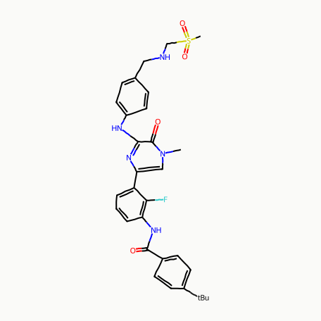 Cn1cc(-c2cccc(NC(=O)c3ccc(C(C)(C)C)cc3)c2F)nc(Nc2ccc(CNCS(C)(=O)=O)cc2)c1=O